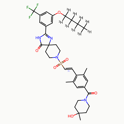 [2H]C([2H])([2H])C([2H])([2H])C([2H])([2H])C([2H])([2H])Oc1cc(C2=NC3(CCN(S(=O)(=O)/C=C/c4c(C)cc(C(=O)N5CCC(C)(O)CC5)cc4C)CC3)C(=O)N2)cc(C(F)(F)F)c1